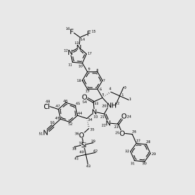 CC(C)(C)C[C@]1(c2ccc(-c3cnn(C(F)F)c3)cc2)NC(=NC(=O)OCc2ccccc2)N([C@H](CO[Si](C)(C)C(C)(C)C)c2ccc(Cl)c(C#N)c2)C1=O